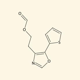 O=COCCc1ncoc1-c1cccs1